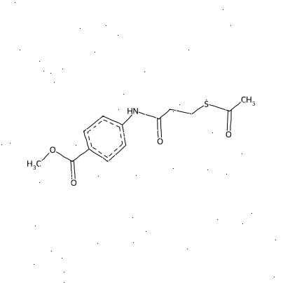 COC(=O)c1ccc(NC(=O)CCSC(C)=O)cc1